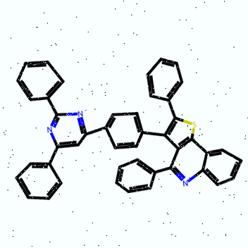 c1ccc(-c2cc(-c3ccc(-c4c(-c5ccccc5)sc5c4c(-c4ccccc4)nc4ccccc45)cc3)nc(-c3ccccc3)n2)cc1